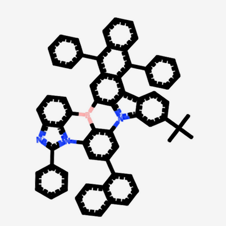 CC(C)(C)c1ccc2c3c4c(-c5ccccc5)c5ccccc5c(-c5ccccc5)c4cc4c3n(c2c1)-c1cc(-c2cccc3ccccc23)cc2c1B4c1cccc3nc(-c4ccccc4)n-2c13